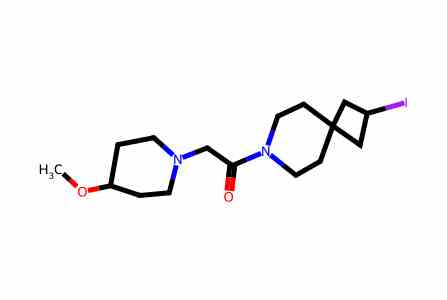 COC1CCN(CC(=O)N2CCC3(CC2)CC(I)C3)CC1